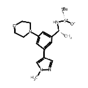 C[C@@H](N[S@@+]([O-])C(C)(C)C)c1cc(-c2cnn(C)c2)cc(N2CCOCC2)c1